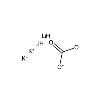 O=C([O-])[O-].[K+].[K+].[LiH].[LiH]